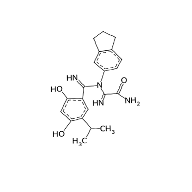 CC(C)c1cc(C(=N)N(C(=N)C(N)=O)c2ccc3c(c2)CCC3)c(O)cc1O